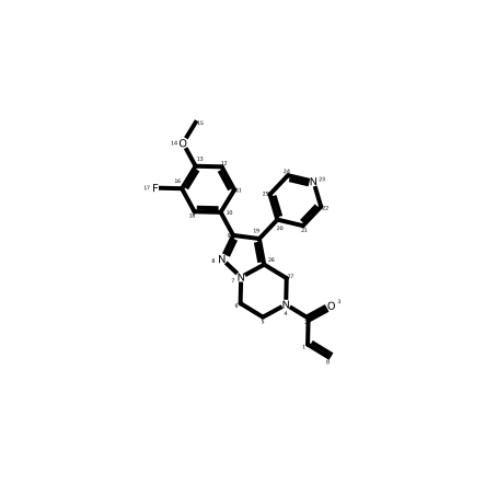 C=CC(=O)N1CCn2nc(-c3ccc(OC)c(F)c3)c(-c3ccncc3)c2C1